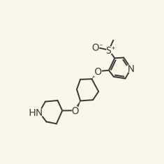 C[S+]([O-])c1cnccc1O[C@H]1CC[C@H](OC2CCNCC2)CC1